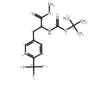 COC(=O)C(Cc1ccc(C(F)(F)F)nc1)NC(=O)OC(C)(C)C